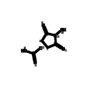 O=C(O)Cl.O=C1CCC(=O)N1O